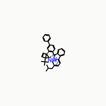 CC(C)CC1=CC=C2c3ccccc3[C@](CN)(c3ccc(-c4ccccc4)cc3[C@]34C=CC3(C(C)(C)C)C4)N2C1